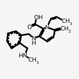 C=C1C=CC(NCc2ccccc2CNC)=C(C(=O)O)N1/C=C\C